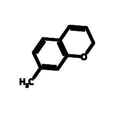 Cc1ccc2c(c1)OCC=C2